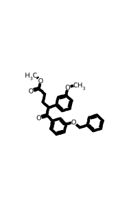 COC(=O)CCC(C(=O)c1cccc(OCc2ccccc2)c1)c1cccc(OC)c1